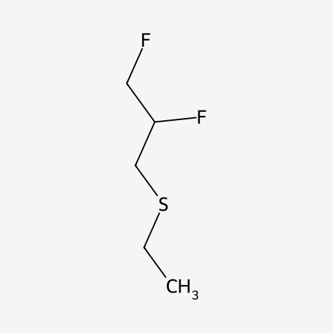 CCSCC(F)CF